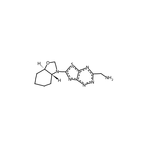 NCc1nnc2nc(N3CO[C@@H]4CCCC[C@H]43)sc2n1